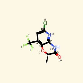 C[C@H]1Oc2c(C(F)(F)F)cc(Cl)nc2NC1=O